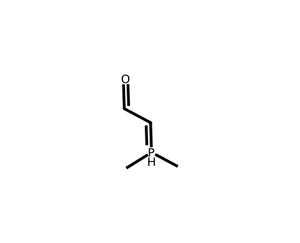 C[PH](C)=CC=O